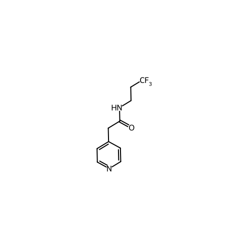 O=C(Cc1ccncc1)NCCC(F)(F)F